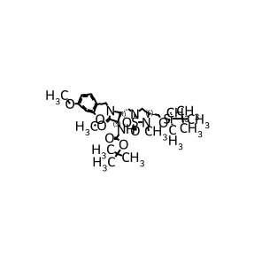 COc1ccc(CN2C(=O)[C@@H](NC(=O)OC(C)(C)C)[C@H]2CN2C[C@@H](CO[Si](C)(C)C(C)(C)C)N(C)S2(=O)=O)c(OC)c1